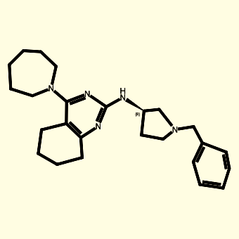 c1ccc(CN2CC[C@@H](Nc3nc4c(c(N5CCCCCC5)n3)CCCC4)C2)cc1